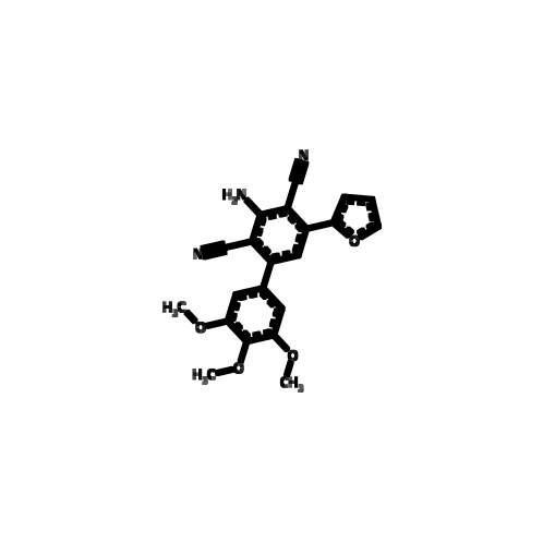 COc1cc(-c2cc(-c3ccco3)c(C#N)c(N)c2C#N)cc(OC)c1OC